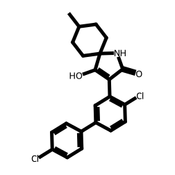 CC1CCC2(CC1)NC(=O)C(c1cc(-c3ccc(Cl)cc3)ccc1Cl)=C2O